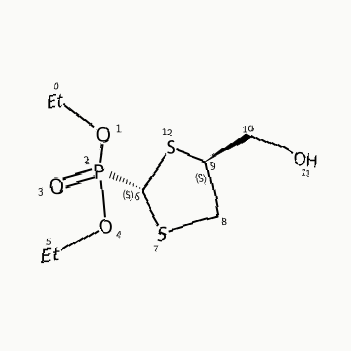 CCOP(=O)(OCC)[C@H]1SC[C@H](CO)S1